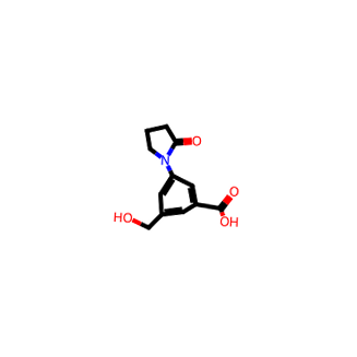 O=C(O)c1cc(CO)cc(N2CCCC2=O)c1